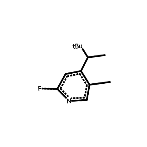 Cc1cnc(F)cc1C(C)C(C)(C)C